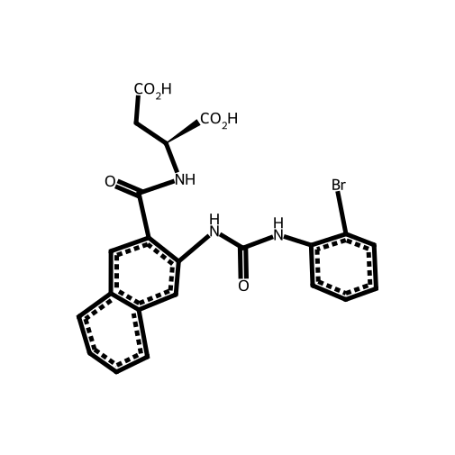 O=C(O)C[C@H](NC(=O)c1cc2ccccc2cc1NC(=O)Nc1ccccc1Br)C(=O)O